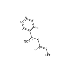 CC/C=C(\C)CC(C#N)c1ccccn1